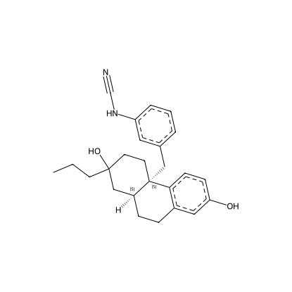 CCCC1(O)CC[C@@]2(Cc3cccc(NC#N)c3)c3ccc(O)cc3CC[C@H]2C1